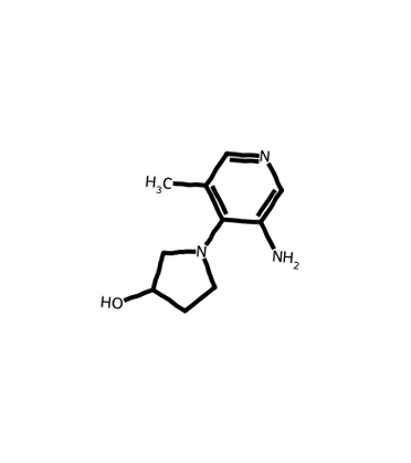 Cc1cncc(N)c1N1CCC(O)C1